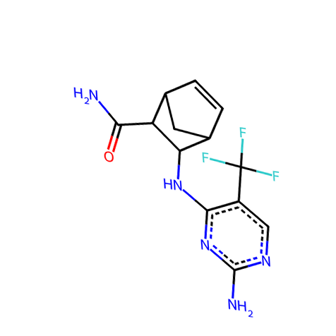 NC(=O)C1C2C=CC(C2)C1Nc1nc(N)ncc1C(F)(F)F